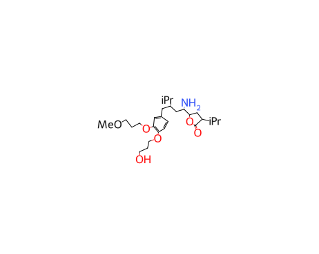 COCCCOc1cc(C[C@@H](C[C@H](N)C2CC(C(C)C)C(=O)O2)C(C)C)ccc1OCCCO